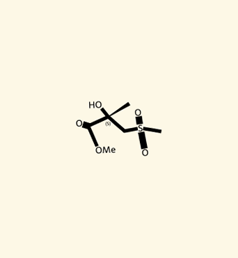 COC(=O)[C@](C)(O)CS(C)(=O)=O